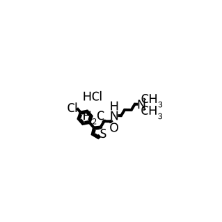 C=C(C(=O)NCCCCN(C)C)c1sccc1-c1ccc(Cl)cc1.Cl